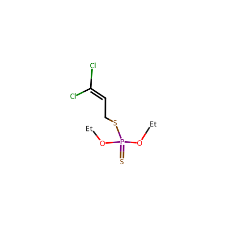 CCOP(=S)(OCC)SCC=C(Cl)Cl